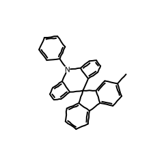 Cc1ccc2c(c1)C1(c3ccccc3-2)c2ccccc2N(c2ccccc2)c2ccccc21